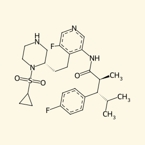 CC(C)[C@H](c1ccc(F)cc1)[C@H](C)C(=O)Nc1cncc(F)c1CC[C@H]1CNCCN1S(=O)(=O)C1CC1